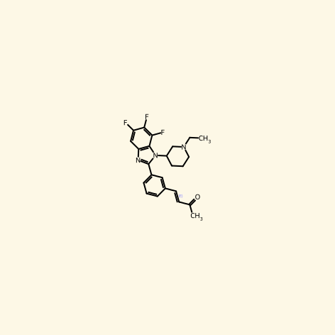 CCN1CCCC(n2c(-c3cccc(/C=C/C(C)=O)c3)nc3cc(F)c(F)c(F)c32)C1